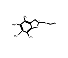 COc1c(C)c(C)c2c(c1C)C[C@@H](CCBr)O2